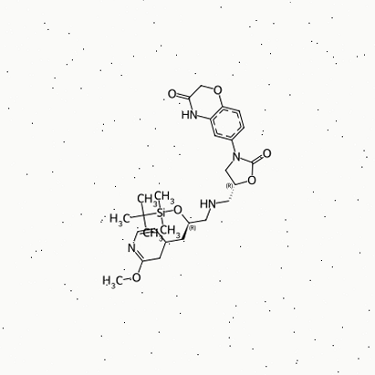 COC1=NC=CC(C[C@H](CNC[C@@H]2CN(c3ccc4c(c3)NC(=O)CO4)C(=O)O2)O[Si](C)(C)C(C)(C)C)C1